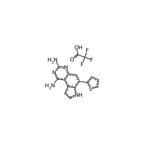 Nc1nc(N)c2c(cc(-c3cccs3)c3[nH]ccc32)n1.O=C(O)C(F)(F)F